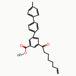 C=CCCCCCC(=O)c1cc(C(=O)OCCC)cc(-c2ccc(-c3ccc(C)cc3)cc2)c1